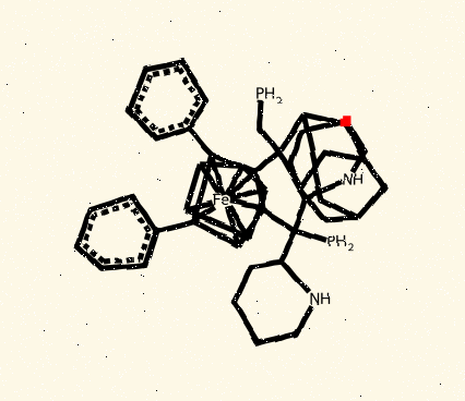 PCC1([C]23[C]4(c5ccccc5)[C]5(c6ccccc6)[CH]6[C]2(C(P)(C2CCCCN2)C2CCCCN2)[Fe]65432789[CH]3[CH]2[CH]7[CH]8[CH]39)C2CC3CC(C2)CC1C3